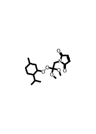 COC(CN1C(=O)C=CC1=O)(OC)OOC1CC(C)CCC1C(C)C